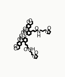 O=C(/C=C/c1ccc(Sc2ccc(/C=C/C(=O)NCCCN3CCCC3=O)c(-c3ccc4c(c3)CCOO4)c2[N+](=O)[O-])c([N+](=O)[O-])c1-c1ccc2c(c1)CCOO2)NCCCN1CCCC1=O